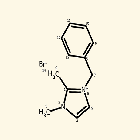 Cc1n(C)cc[n+]1Cc1ccccc1.[Br-]